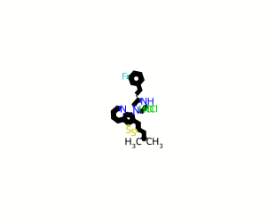 CC(C)CC1=Cc2c(c3ccccnc-3c2N2CCN[C@@H](CCc3cccc(F)c3)C2)SS1.Cl.Cl